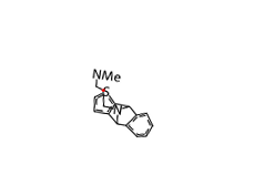 CNCCCN1C2c3ccccc3C1c1sccc12